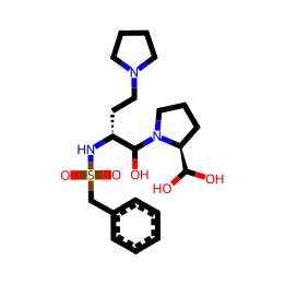 O=S(=O)(Cc1ccccc1)N[C@H](CCN1CCCC1)C(O)N1CCC[C@H]1C(O)O